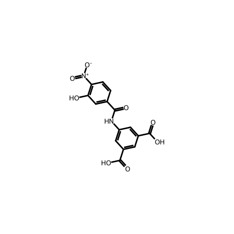 O=C(O)c1cc(NC(=O)c2ccc([N+](=O)[O-])c(O)c2)cc(C(=O)O)c1